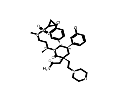 C[C@@H](CCN(C)S(=O)(=O)C1CC1)N1C(=O)[C@@](CCN2CCOCC2)(CC(N)=O)C[C@H](c2cccc(Cl)c2)[C@H]1c1ccc(Cl)cc1